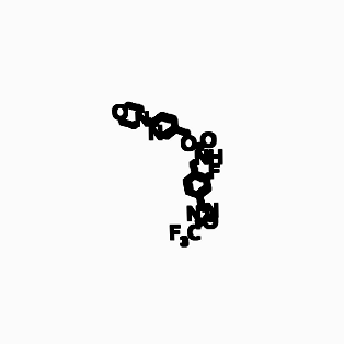 O=C(NCc1ccc(-c2noc(C(F)(F)F)n2)cc1F)OCc1ccc(N2CCOCC2)nc1